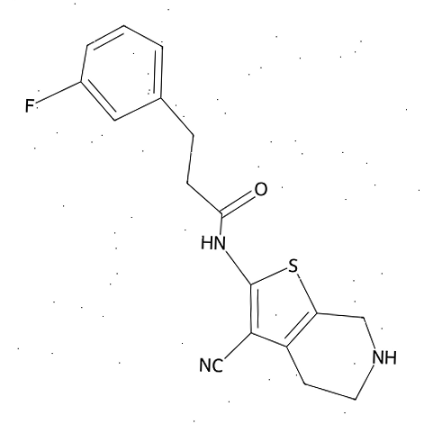 N#Cc1c(NC(=O)CCc2cccc(F)c2)sc2c1CCNC2